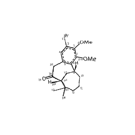 COc1c(C(C)C)cc2c(c1OC)[C@@H]1CCCC(C)(C)[C@@H](C1)C(=O)C2